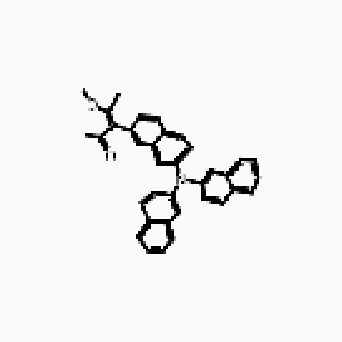 CO/C(C)=C(\C(C)=O)c1ccc2ccc(N(c3ccc4ccccc4c3)c3ccc4ccccc4c3)cc2c1